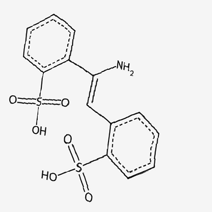 NC(=Cc1ccccc1S(=O)(=O)O)c1ccccc1S(=O)(=O)O